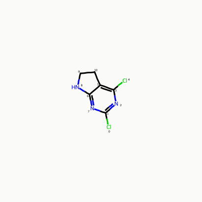 Clc1nc(Cl)c2c(n1)NCC2